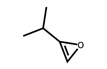 CC(C)C1=CO1